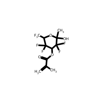 C=C(C)C(=O)OC1C(F)(F)C(C(F)(F)F)OC(C)(O)C1(F)F